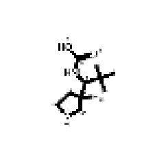 CC(C)(C)C(NC(=O)O)C1(F)CCNC1